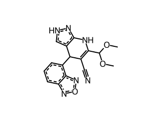 COC(OC)C1=C(C#N)C(c2cccc3nonc23)c2c[nH]nc2N1